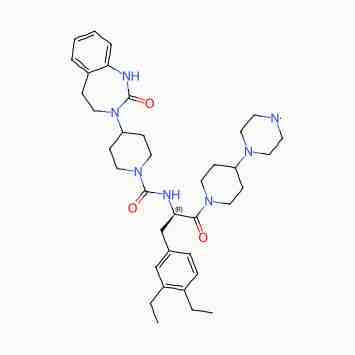 CCc1ccc(C[C@@H](NC(=O)N2CCC(N3CCc4ccccc4NC3=O)CC2)C(=O)N2CCC(N3CC[N]CC3)CC2)cc1CC